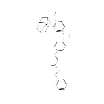 COc1ccc(Nc2ccc(/C=C/C(=O)OCc3ccccc3)cc2)cc1C12CC3CC(CC(C3)C1)C2